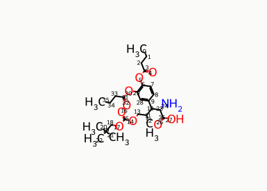 CCCC(=O)Oc1ccc(C(C(C)COC(=O)OCC(C)(C)C)[C@H](N)C(=O)O)cc1OC(=O)CCC